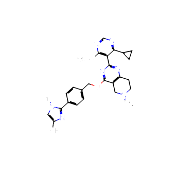 COc1ncnc(C2CC2)c1-c1nc2c(c(OCc3ccc(-c4nc(C(F)(F)F)cn4C(C)C)cc3)n1)CN(C#N)CC2